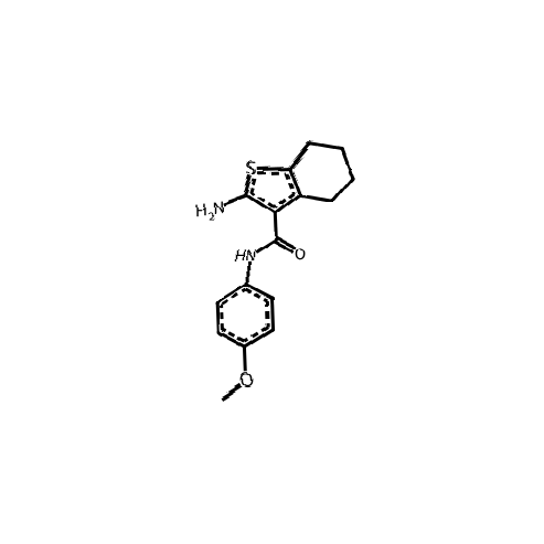 COc1ccc(NC(=O)c2c(N)sc3c2CCCC3)cc1